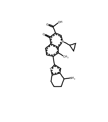 Cc1c(-c2cc3c(s2)CCCC3N)ccc2c(=O)c(C(=O)O)cn(C3CC3)c12